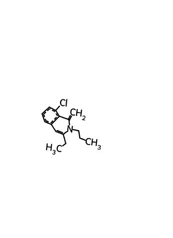 C=C1c2c(Cl)cccc2C=C(CC)N1CCC